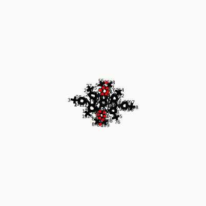 CC(C)(C)c1ccc(N2c3cc(C(C)(C)C)cc4c3B3c5c2cc(C(C)(C)C)cc5N(c2ccc(C(C)(C)C)cc2)c2c3c(c3c5c2N(c2ccc(C(C)(C)C)cc2)c2cc(C(C)(C)C)cc6c2B5c2c(cc(C(C)(C)C)cc2N3c2ccc(C(C)(C)C)cc2)N6c2ccc(C(C)(C)C)cc2)N4c2ccc(C(C)(C)C)cc2)cc1